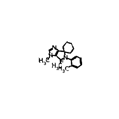 Cc1ccccc1N1[C@@H](C)c2c(ncn2C)C12CCCCC2